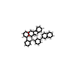 c1ccc(-c2ccccc2N(c2cccc(-c3ccc4ccccc4c3)c2)c2cccc3c2oc2ccccc23)cc1